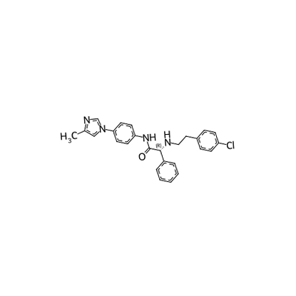 Cc1cn(-c2ccc(NC(=O)[C@H](NCCc3ccc(Cl)cc3)c3ccccc3)cc2)cn1